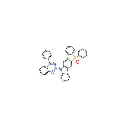 O=P1(c2ccccc2)c2ccccc2-c2cc3c(cc21)c1ccccc1n3-c1nc(-c2ccccc2)c2ccccc2n1